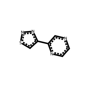 c1cnc(-c2csnn2)cn1